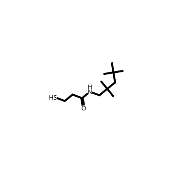 CC(C)(C)CC(C)(C)CNC(=O)CCS